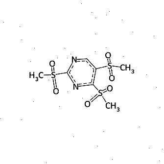 CS(=O)(=O)c1ncc(S(C)(=O)=O)c(S(C)(=O)=O)n1